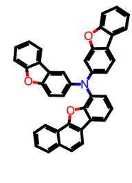 c1ccc2c(c1)ccc1c3cccc(N(c4ccc5c(c4)oc4ccccc45)c4ccc5oc6ccccc6c5c4)c3oc21